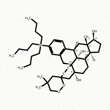 CCC[CH2][Sn]([CH2]CCC)([CH2]CCC)[c]1ccc2c(c1)C[C@]13CCC4(CC(C)(C)COO4)C[C@]1(O)CC[C@H]1[C@@H]4CC[C@H](O)[C@@]4(C)C[C@H]2[C@@]13O